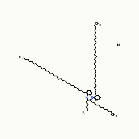 CCCCCCCCCCCCCCCCCCCCCCCCCCC=CCCc1ccccc1N=C(CCCCC)C(CCCCCCCCCCC)=Nc1ccccc1CCC=CCCCCCCCCCCCCCCCCCCCCCCCCCC.[Ni]